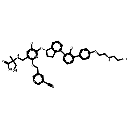 CC(CO)(NCc1cc(Cl)c(O[C@H]2CCc3c(-c4cccc(-c5ccc(OCCNCCO)cc5)c4Cl)cccc32)nc1OCc1cncc(C#N)c1)C(=O)O